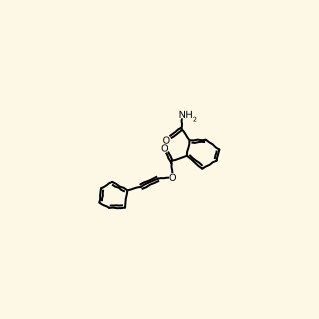 NC(=O)c1ccccc1C(=O)OC#Cc1ccccc1